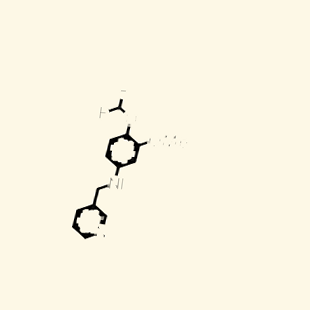 COc1cc(NCc2cccnc2)ccc1OC(F)F